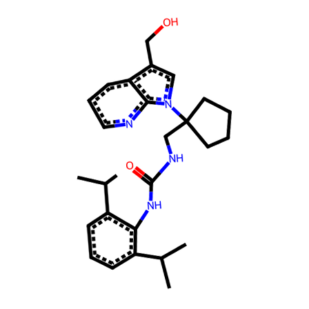 CC(C)c1cccc(C(C)C)c1NC(=O)NCC1(n2cc(CO)c3cccnc32)CCCC1